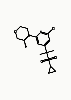 C[C@H]1COCCN1c1cc(C(C)(C)S(=O)(=O)C2CC2)cc(Cl)n1